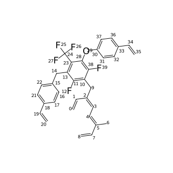 C=C/C(=C\C=C(/C)C=C)Cc1c(F)c(Cc2ccc(C=C)cc2)c(C(F)(F)F)c(Oc2ccc(C=C)cc2)c1F